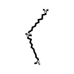 CN(C)CCCCCCCCCC[N+](C)(C)CCCCCCCCCCN(C)C